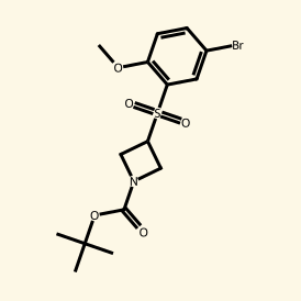 COc1ccc(Br)cc1S(=O)(=O)C1CN(C(=O)OC(C)(C)C)C1